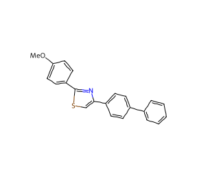 COc1ccc(-c2nc(-c3ccc(-c4ccccc4)cc3)cs2)cc1